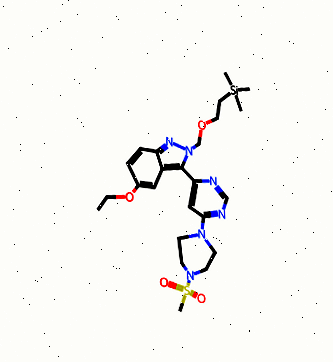 CCOc1ccc2nn(COCC[Si](C)(C)C)c(-c3cc(N4CCN(S(C)(=O)=O)CC4)ncn3)c2c1